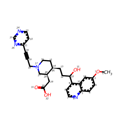 COc1ccc2nccc(C(O)CC[C@@H]3CCN(CC#Cc4ccncn4)C[C@@H]3CC(=O)O)c2c1